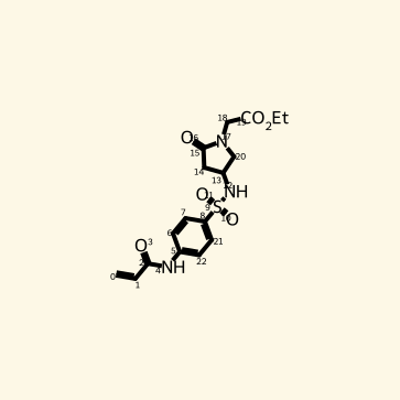 C=CC(=O)Nc1ccc(S(=O)(=O)NC2CC(=O)N(CC(=O)OCC)C2)cc1